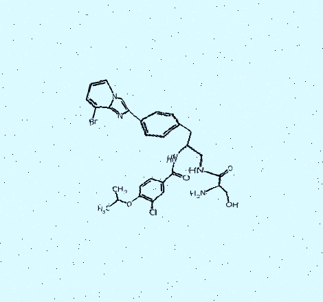 CC(C)Oc1ccc(C(=O)NC(CNC(=O)C(N)CO)Cc2ccc(-c3cn4cccc(Br)c4n3)cc2)cc1Cl